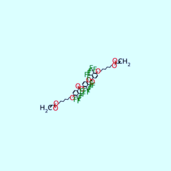 C=CC(=O)OCCCCCCOc1ccc(C(=O)Oc2ccc(OC(=O)c3ccc(OCCCCCCOC(=O)C=C)c(C(F)(F)F)c3C(F)(F)F)c(C(F)(F)F)c2C(F)(F)F)c(C(F)(F)F)c1C(F)(F)F